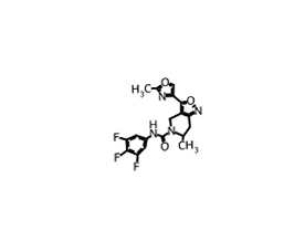 Cc1nc(-c2onc3c2CN(C(=O)Nc2cc(F)c(F)c(F)c2)C(C)C3)co1